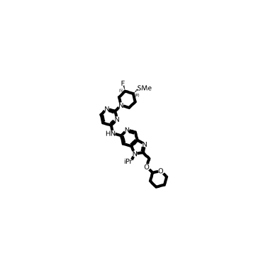 CS[C@@H]1CCN(c2nccc(Nc3cc4c(cn3)nc(COC3CCCCO3)n4C(C)C)n2)C[C@@H]1F